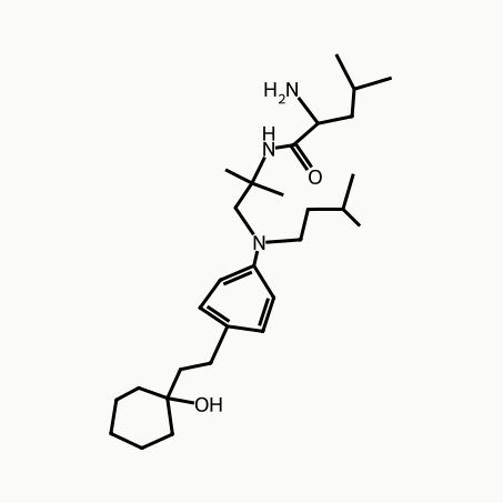 CC(C)CCN(CC(C)(C)NC(=O)C(N)CC(C)C)c1ccc(CCC2(O)CCCCC2)cc1